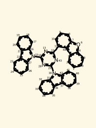 c1ccc2c(c1)oc1cccc(-c3nc(-n4c5ccccc5c5ccccc54)nc(-n4c5ccccc5c5ccccc54)n3)c12